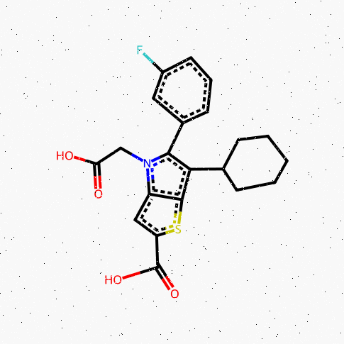 O=C(O)Cn1c(-c2cccc(F)c2)c(C2CCCCC2)c2sc(C(=O)O)cc21